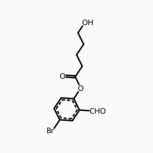 O=Cc1cc(Br)ccc1OC(=O)CCCCO